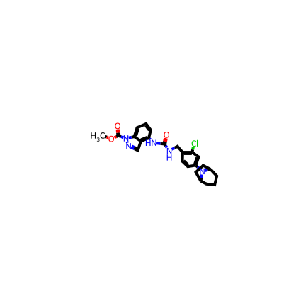 COC(=O)n1ncc2c(NC(=O)NCc3ccc(N4C5CCCC4CC5)cc3Cl)cccc21